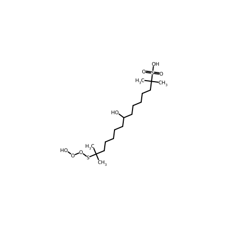 CC(C)(CCCCCC(O)CCCCCC(C)(C)S(=O)(=O)O)SOOO